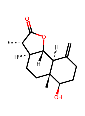 C=C1CC[C@@H](O)[C@]2(C)CC[C@@H]3[C@H](OC(=O)[C@H]3C)[C@@H]12